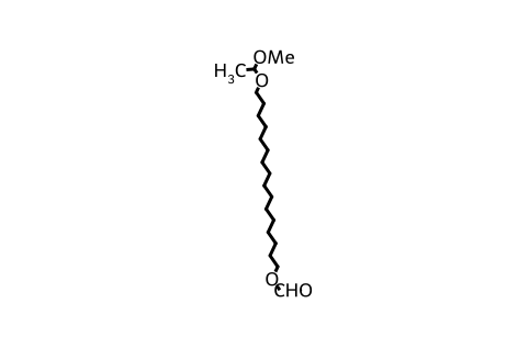 COC(C)OCCCCCCCCCCCCCCCCO[C]=O